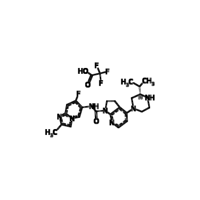 Cc1cn2cc(NC(=O)N3CCc4c(N5CCN[C@@H](C(C)C)C5)ccnc43)c(F)cc2n1.O=C(O)C(F)(F)F